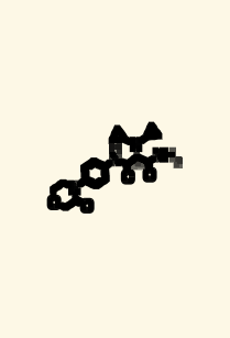 NC(=O)[C@H](C(=O)Nc1ccc(N2CCOCC2=O)cc1)N(C1CC1)C1CC1